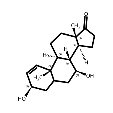 C[C@]12C=C[C@H](O)CC1C[C@H](O)[C@@H]1[C@@H]2CC[C@]2(C)C(=O)CC[C@@H]12